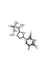 Cc1cn([C@H]2C[C@H](O)[C@@H]([C@H](O)P(=O)(O)O)O2)c(=O)[nH]c1=O